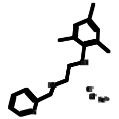 Cc1cc(C)c(NCCNCc2ccccn2)c(C)c1.[Cl-].[Cl-].[Fe+2]